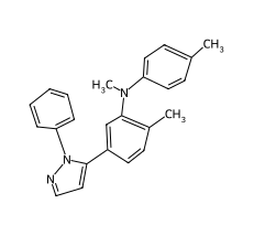 Cc1ccc(N(C)c2cc(-c3ccnn3-c3ccccc3)ccc2C)cc1